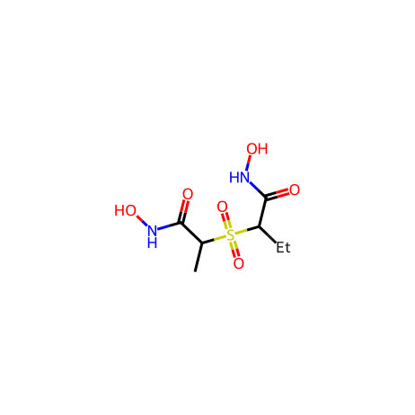 CCC(C(=O)NO)S(=O)(=O)C(C)C(=O)NO